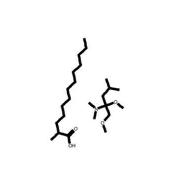 CCCCCCCCCCCC(C)C(=O)O.COCC(CC(C)C)(OC)N(C)C